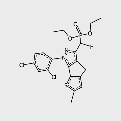 CCOP(=O)(OCC)C(F)c1nn(-c2ccc(Cl)cc2Cl)c2c1Cc1cc(C)sc1-2